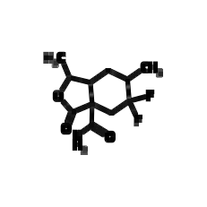 CC1OC(=O)C2(C(N)=O)CC(F)(F)C(C)CC12